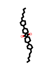 CCCCCCC1CCC(C2CCC3(CC2)C(=O)C2(CCC(C4CCC(CCCCCC)CC4)CC2)C3=O)CC1